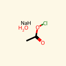 CC(=O)OCl.O.[NaH]